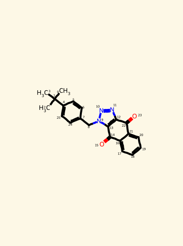 CC(C)(C)c1ccc(Cn2nnc3c2C(=O)c2ccccc2C3=O)cc1